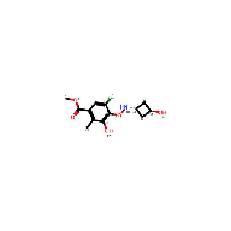 COC(=O)c1cc(Cl)c(ON[C@H]2C[C@H](O)C2)c(O)c1C